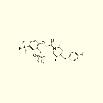 C[C@@H]1CN(Cc2ccc(F)cc2)[C@@H](C)CN1C(=O)COc1ccc(C(F)(F)F)cc1CS(N)(=O)=O